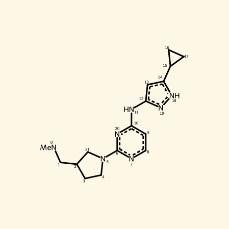 CNCC1CCN(c2nccc(Nc3cc(C4CC4)[nH]n3)n2)C1